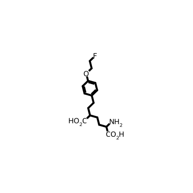 NC(CCC(CCc1ccc(OCCF)cc1)C(=O)O)C(=O)O